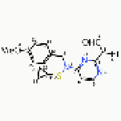 CCC(C=O)c1nccc(N(Cc2ccc(OC)cc2)SC2CC2)n1